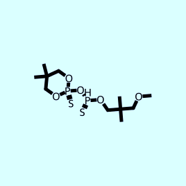 COCC(C)(C)CO[PH](=S)OP1(=S)OCC(C)(C)CO1